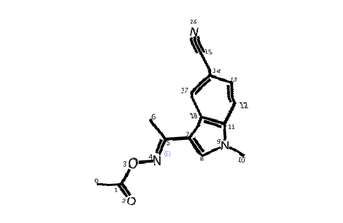 CC(=O)O/N=C(\C)c1cn(C)c2ccc(C#N)cc12